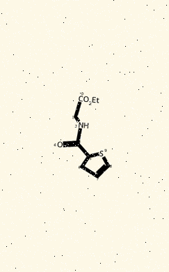 CCOC(=O)CNC(=O)C1CC=CS1